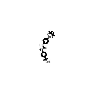 CC(C)(O)c1ccc(NC(=O)Nc2ccc(B3OC(C)(C)C(C)(C)O3)cc2)cc1